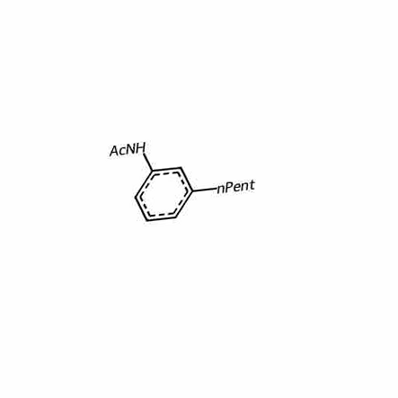 CCCCCc1cccc(NC(C)=O)c1